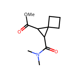 COC(=O)C1C(C(=O)N(C)C)C12CCC2